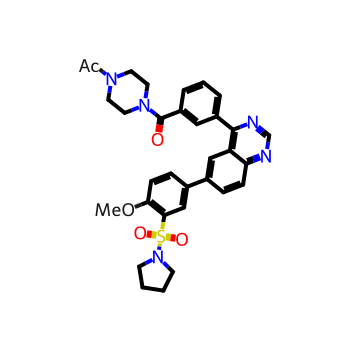 COc1ccc(-c2ccc3ncnc(-c4cccc(C(=O)N5CCN(C(C)=O)CC5)c4)c3c2)cc1S(=O)(=O)N1CCCC1